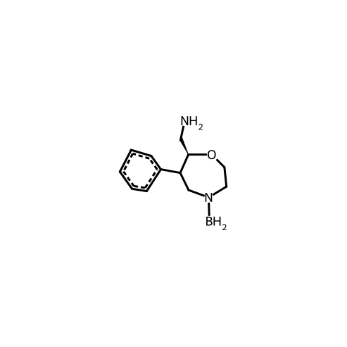 BN1CCO[C@H](CN)C(c2ccccc2)C1